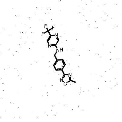 Cc1nc(-c2ccc(CNc3cnc(C(F)(F)F)cn3)cc2)no1